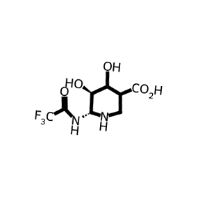 O=C(O)C1CN[C@H](NC(=O)C(F)(F)F)[C@@H](O)C1O